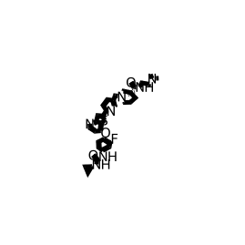 CN(C)CCNC(=O)[C@@H]1CCCN(Cc2ccc(-c3cc4nccc(Oc5ccc(NC(=O)NC6CC6)cc5F)c4s3)nc2)C1